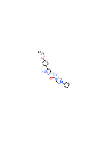 CCOc1ccc(-c2cc(NC(=O)N3CCN(c4ccccc4)CC3)n[nH]2)cc1